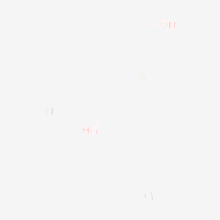 OCC(CCCCl)SC(CO)CCCCl